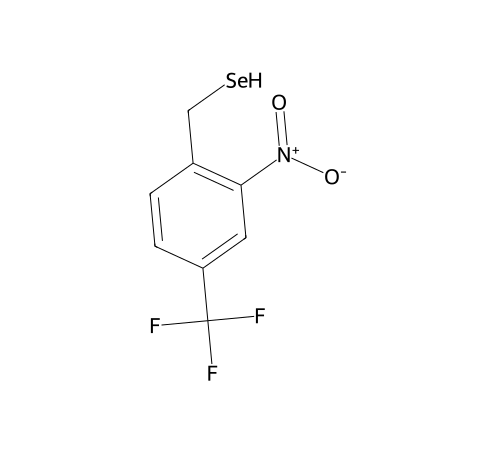 O=[N+]([O-])c1cc(C(F)(F)F)ccc1C[SeH]